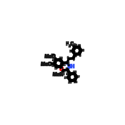 CNC(=O)C(N[C@H](CCc1cccc(C(F)(F)F)c1)c1ccc(OC)c(OC)c1)c1ccccc1